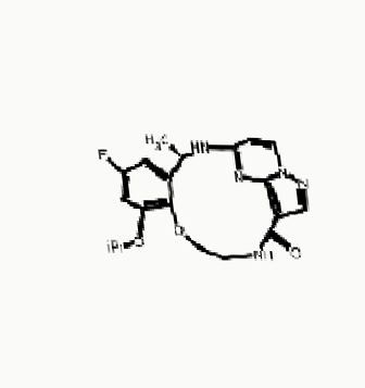 CC(C)Oc1cc(F)cc2c1OCCNC(=O)c1cnn3ccc(nc13)N[C@@H]2C